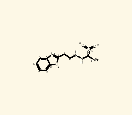 CCCC(NNCCc1nc2ccccc2o1)[SH](=O)=O